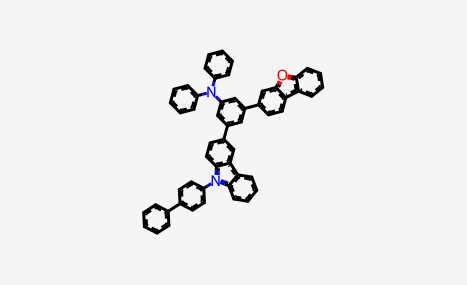 c1ccc(-c2ccc(-n3c4ccccc4c4cc(-c5cc(-c6ccc7c(c6)oc6ccccc67)cc(N(c6ccccc6)c6ccccc6)c5)ccc43)cc2)cc1